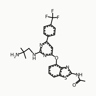 CC(=O)Nc1nc2c(Oc3cc(-c4ccc(C(F)(F)F)cc4)nc(NCC(C)(C)N)n3)cccc2s1